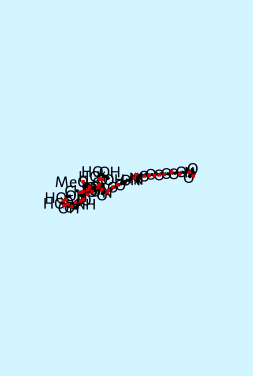 COc1ccc2c(OS(=O)(=O)Oc3cc(C(=O)N(C)CCOCCOCCOCCn4cc(COCCOCCOCCOCCOCCOCCN5C(=O)C=CC5=O)nn4)ccc3O[C@@H]3O[C@H](CO)[C@H](O)[C@H](O)[C@H]3O)cc3c(c2c1)[C@H](CCl)CN3C(=O)c1cc2cc(OC3O[C@H](CO)[C@H](O)[C@H](O)[C@H]3O)ccc2[nH]1